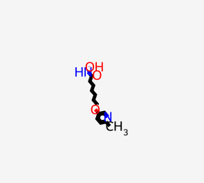 Cc1ccc(OCCCCCCC(=O)NO)cn1